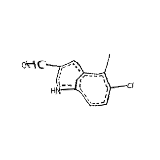 Cc1c(Cl)ccc2[nH]c(C=O)cc12